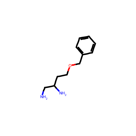 NCC(N)CCOCc1ccccc1